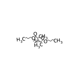 CCCCOC(=O)[CH](C)[Sn][CH](C)C(=O)OCCCC